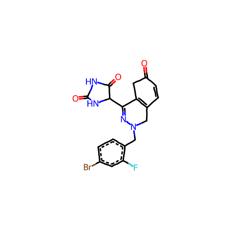 O=C1C=CC2=C(C1)C(C1NC(=O)NC1=O)=NN(Cc1ccc(Br)cc1F)C2